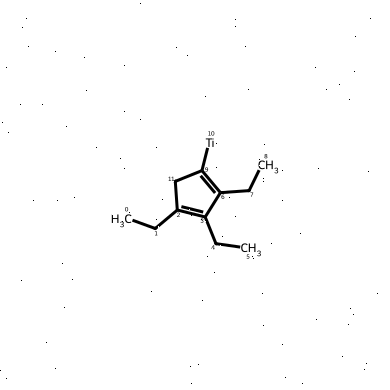 CCC1=C(CC)C(CC)=[C]([Ti])C1